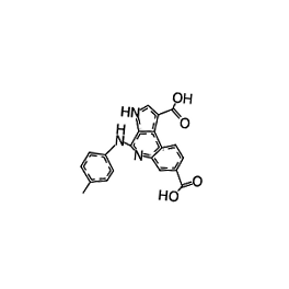 Cc1ccc(Nc2nc3cc(C(=O)O)ccc3c3c(C(=O)O)c[nH]c23)cc1